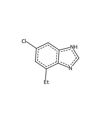 CCc1cc(Cl)cc2[nH]cnc12